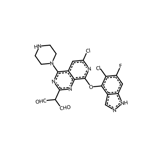 O=CC(C=O)c1nc(N2CCNCC2)c2cc(Cl)nc(Oc3c(Cl)c(F)cc4[nH]ncc34)c2n1